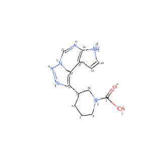 O=C(O)N1CCCC(c2nnn3cnc4[nH]ccc4c23)C1